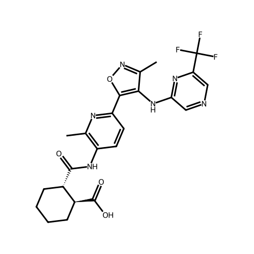 Cc1nc(-c2onc(C)c2Nc2cncc(C(F)(F)F)n2)ccc1NC(=O)[C@H]1CCCC[C@@H]1C(=O)O